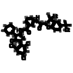 CCC(C)(C)c1ccc(OCC(=O)Nc2cccc(C(=O)NC3=NN(c4c(Cl)cc(Cl)cc4Cl)C(=O)C3N3CCCCC3)c2)c(C(C)(C)CC)c1